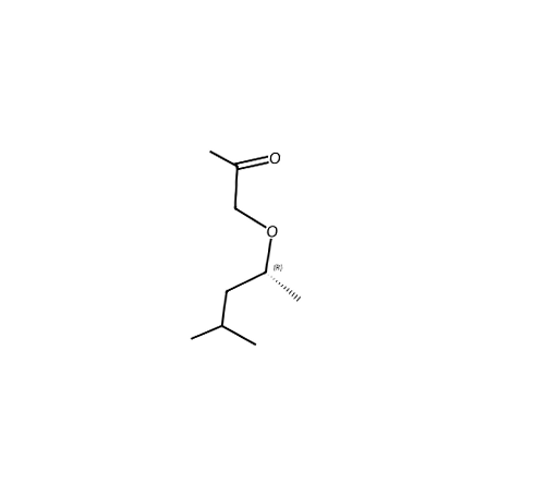 CC(=O)CO[C@H](C)CC(C)C